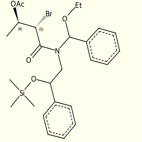 CCOC(c1ccccc1)N(CC(O[Si](C)(C)C)c1ccccc1)C(=O)[C@@H](Br)[C@@H](C)OC(C)=O